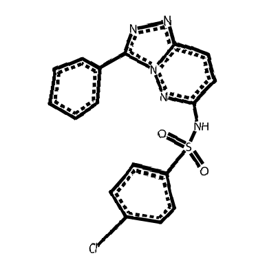 O=S(=O)(Nc1ccc2nnc(-c3ccccc3)n2n1)c1ccc(Cl)cc1